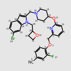 N#Cc1ccc(OCc2cccc(OC3CCN(Cc4cc5ccc(Br)cc5n4CC4CCO4)CC3)n2)c(F)c1